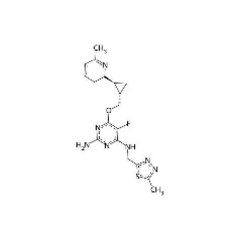 CC1=NC([C@H]2C[C@@H]2COc2nc(N)nc(NCc3nnc(C)s3)c2F)CC=C1